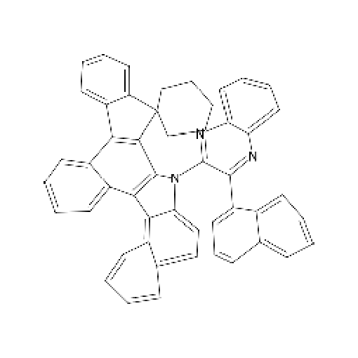 c1ccc2c(c1)-c1c(c3c(c4ccccc14)c1c4ccccc4ccc1n3-c1nc3ccccc3nc1-c1cccc3ccccc13)C21CCCCC1